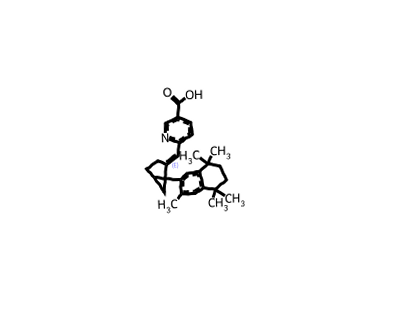 Cc1cc2c(cc1C13CC1CC/C3=C\c1ccc(C(=O)O)cn1)C(C)(C)CCC2(C)C